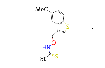 CCC(=S)NOCc1csc2ccc(OC)cc12